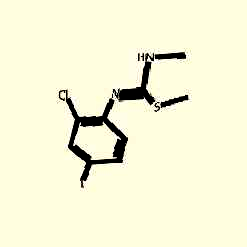 CNC(=Nc1ccc(I)cc1Cl)SC